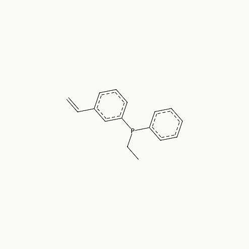 C=Cc1cccc(P(CC)c2ccccc2)c1